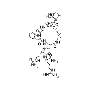 CC(O)[C@H](C)C[C@H](N)C(=O)N[C@H]1CSSC(C)(C)CNC(=O)C[C@H](C(=O)N[C@@H](CCCNC(=N)N)C(=O)N[C@@H](CCCNC(=N)N)C(N)=O)NC(=O)[C@H](Cc2ccccc2)NC(=O)CNC1=O